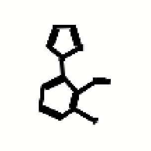 CNc1c(F)cccc1-n1cccn1